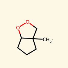 [CH2]C12CCCC1OOC2